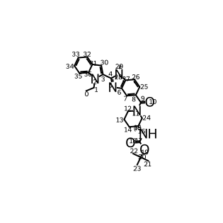 CCn1c(-c2nc3cc(C(=O)N4CCC[C@@H](NC(=O)OC(C)(C)C)C4)c[c]c3n2C)cc2ccccc21